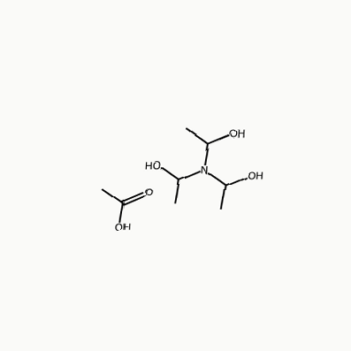 CC(=O)O.CC(O)N(C(C)O)C(C)O